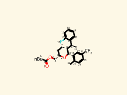 CCCCC(=O)OC[C@@H]1CC[C@H]([C@H](C)c2ccccc2F)[C@H](c2cc(C(F)(F)F)ccc2C)O1